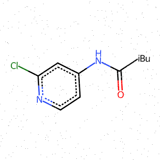 CCC(C)C(=O)Nc1ccnc(Cl)c1